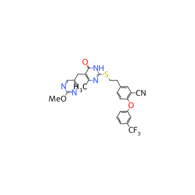 COc1ncc(Cc2c(C)nc(SCCc3ccc(Oc4cccc(C(F)(F)F)c4)c(C#N)c3)[nH]c2=O)cn1